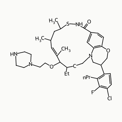 CCCc1c(C2COc3ccc4cc3N(CCC(CC)C(OCCN3CCNCC3)/C(C)=C/C(C)CC(C)SNC4=O)C2)ccc(Cl)c1F